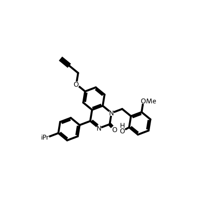 C#CCOc1ccc2c(c1)c(-c1ccc(C(C)C)cc1)nc(=O)n2Cc1c(O)cccc1OC